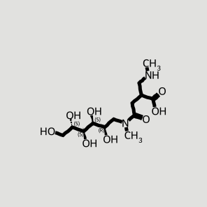 CNCC(CC(=O)N(C)C[C@@H](O)[C@H](O)[C@@H](O)[C@@H](O)CO)C(=O)O